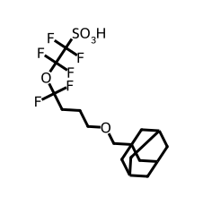 O=S(=O)(O)C(F)(F)C(F)(F)OC(F)(F)CCCOCC12CC3CC(CC(C3)C1)C2